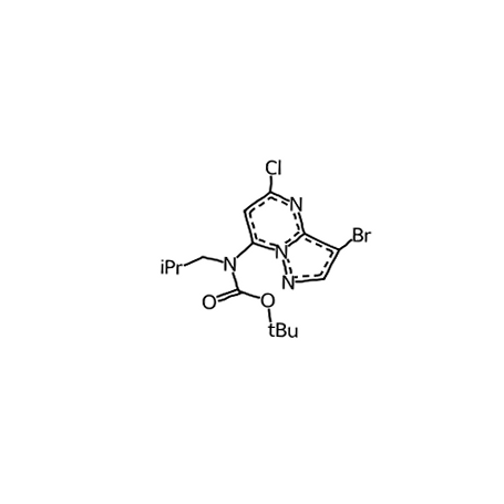 CC(C)CN(C(=O)OC(C)(C)C)c1cc(Cl)nc2c(Br)cnn12